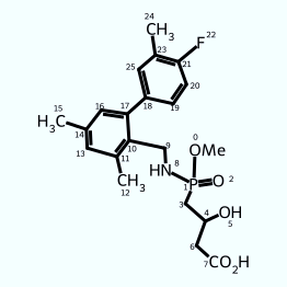 COP(=O)(CC(O)CC(=O)O)NCc1c(C)cc(C)cc1-c1ccc(F)c(C)c1